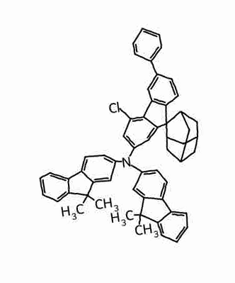 CC1(C)c2ccccc2-c2ccc(N(c3ccc4c(c3)C(C)(C)c3ccccc3-4)c3cc(Cl)c4c(c3)C3(c5ccc(-c6ccccc6)cc5-4)C4CC5CC(C4)CC3C5)cc21